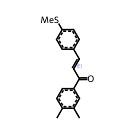 CSc1ccc(/C=C/C(=O)c2ccc(C)c(C)c2)cc1